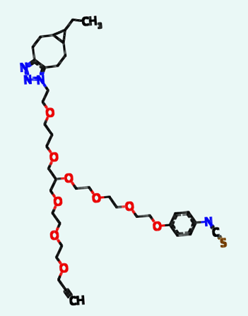 C#CCOCCOCCOCC(COCCCOCCn1nnc2c1CCC1C(CC)C1CC2)OCCOCCOCCOc1ccc(N=C=S)cc1